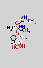 CCC(CC)(COc1cccc2c1C(N)=NS(O)(O)N2)NC(=O)c1ccnc(C)c1